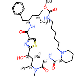 CC[C@H](C)[C@H](NC(=O)[C@H]1CCCCN1CCCCCCNC(=O)OC(C)(C)C)C(=O)N(C)[C@H](C[C@@H](O)c1nc(C(=O)N[C@@H](Cc2ccccc2)C[C@H](C)C(=O)O)cs1)C(C)C